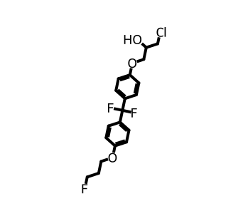 OC(CCl)COc1ccc(C(F)(F)c2ccc(OCCCF)cc2)cc1